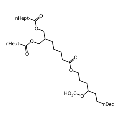 CCCCCCCCCCCCC(CCCOC(=O)CCCCC(COC(=O)CCCCCCC)COC(=O)CCCCCCC)OC(=O)O